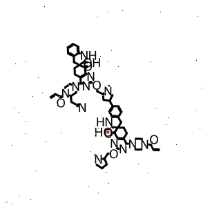 C=CC(=O)N1CCN(c2nc(OCC3CCCN3C)nc3c2CCC2(Cc4ccc(C5CC(COc6nc7c(c(N8CCN(C(=O)C=C)C(CC#N)C8)n6)CCC6(Cc8ccccc8NC6O)C7=O)N(C)C5)cc4NC2O)C3=O)CC1